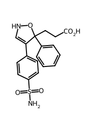 NS(=O)(=O)c1ccc(C2=CNOC2(CCC(=O)O)c2ccccc2)cc1